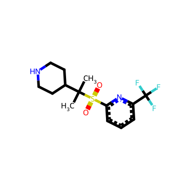 CC(C)(C1CCNCC1)S(=O)(=O)c1cccc(C(F)(F)F)n1